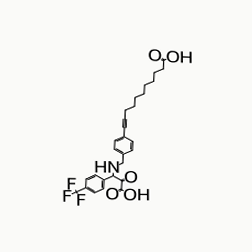 O=C(O)CCCCCCCCC#Cc1ccc(CNC(C(=O)C(=O)O)c2ccc(C(F)(F)F)cc2)cc1